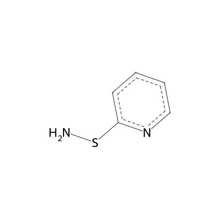 NSc1ccccn1